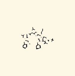 CCCC[C@H](NC(=O)[C@H](Cc1ccccc1)NC1CCCN(C(=O)OC(C)(C)C)C1C(C)=O)C(=O)N[C@@H](CC(C)C)[C@@H](O)CC(=O)N[C@@H](CC(C)C)C(=O)N[C@@H](Cc1ccccc1)C(=O)OC